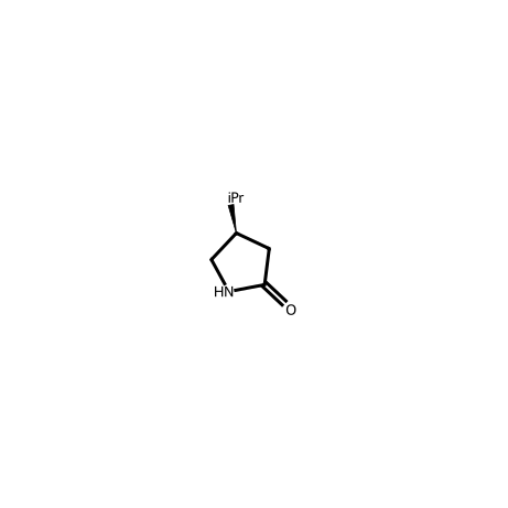 CC(C)[C@@H]1CNC(=O)C1